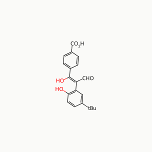 CC(C)(C)c1ccc(O)c(C(C=O)=C(O)c2ccc(C(=O)O)cc2)c1